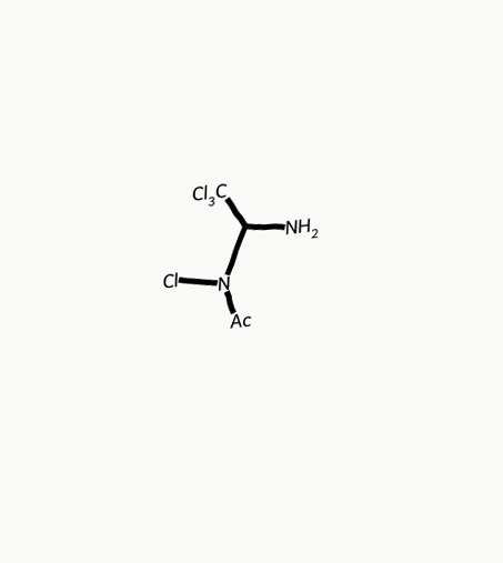 CC(=O)N(Cl)C(N)C(Cl)(Cl)Cl